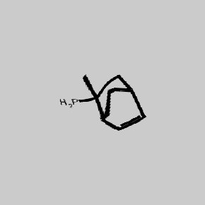 CC1(P)CC2C=CC1C2